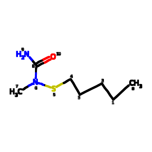 CCCCCSN(C)C(N)=O